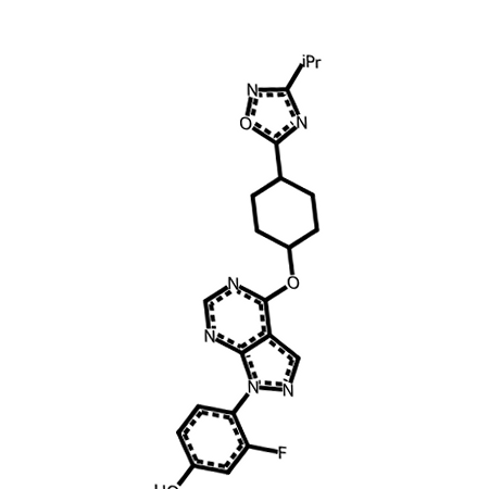 CC(C)c1noc(C2CCC(Oc3ncnc4c3cnn4-c3ccc(O)cc3F)CC2)n1